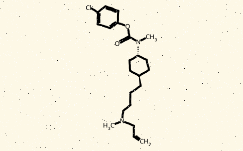 C=CCN(C)CCCC[C@H]1CC[C@H](N(C)C(=O)Oc2ccc(Cl)cc2)CC1